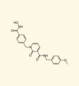 COc1ccc(CNC(=O)c2cccn(Cc3ccc(C(=O)NO)cc3)c2=O)cc1